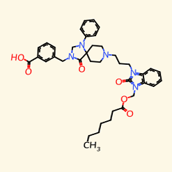 CCCCCCC(=O)OCn1c(=O)n(CCCN2CCC3(CC2)C(=O)N(Cc2cccc(C(=O)O)c2)CN3c2ccccc2)c2ccccc21